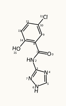 O=C(Nc1nc[nH]n1)c1cc(Cl)ccc1O